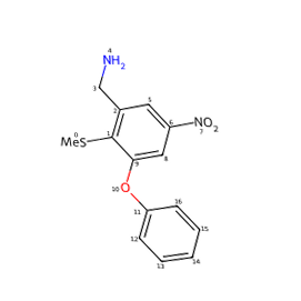 CSc1c(CN)cc([N+](=O)[O-])cc1Oc1ccccc1